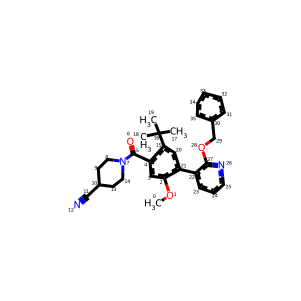 COc1cc(C(=O)N2CCC(C#N)CC2)c(C(C)(C)C)cc1-c1cccnc1OCc1ccccc1